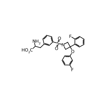 NC(Cc1cccc(S(=O)(=O)N2CC(Oc3cccc(F)c3)(c3ccccc3F)C2)c1)C(=O)O